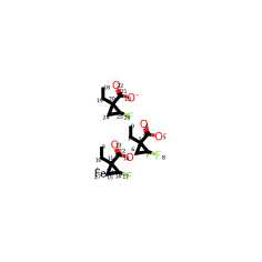 CCC1(C(=O)[O-])CC1F.CCC1(C(=O)[O-])CC1F.CCC1(C(=O)[O-])CC1F.[Fe+3]